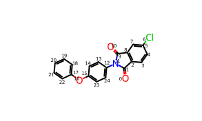 O=C1c2ccc(Cl)cc2C(=O)N1c1ccc(Oc2ccccc2)cc1